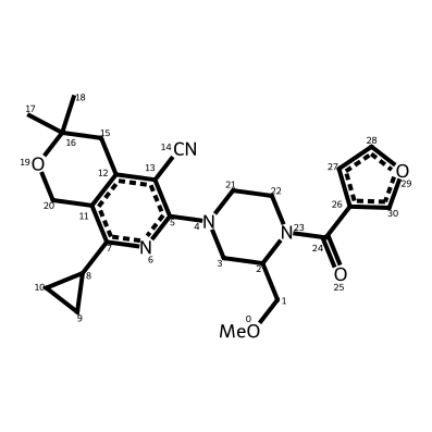 COCC1CN(c2nc(C3CC3)c3c(c2C#N)CC(C)(C)OC3)CCN1C(=O)c1ccoc1